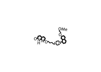 COCCOc1ccc2cccc(N3CCN(CCCCOc4ccc5ccc(=O)[nH]c5n4)CC3)c2c1